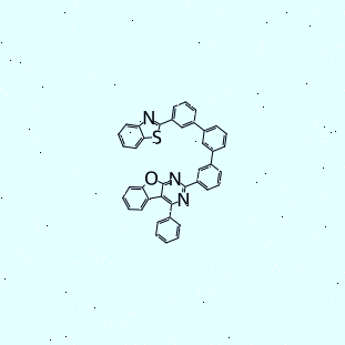 c1ccc(-c2nc(-c3cccc(-c4cccc(-c5cccc(-c6nc7ccccc7s6)c5)c4)c3)nc3oc4ccccc4c23)cc1